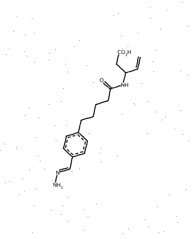 C=CC(CC(=O)O)NC(=O)CCCCc1ccc(C=NN)cc1